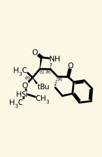 C[SiH](C)O[C@](C)([C@H]1C(=O)N[C@@H]1[C@H]1CCc2ccccc2C1=O)C(C)(C)C